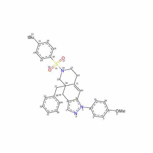 COc1ccc(-n2ncc3c2C=C2CCN(S(=O)(=O)c4ccc(C(C)(C)C)cc4)CC2(Cc2ccccc2)C3)cc1